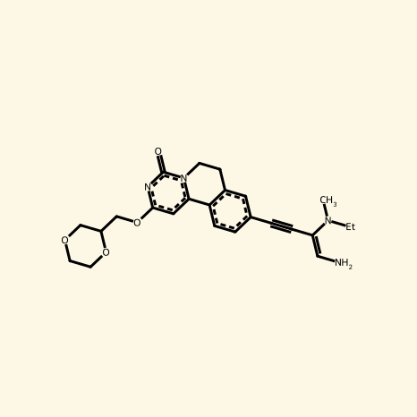 CCN(C)/C(C#Cc1ccc2c(c1)CCn1c-2cc(OCC2COCCO2)nc1=O)=C\N